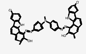 Cc1cc2ccc3c4cc(Cl)ccc4[nH]c3c2c(N=Nc2ccc(N(C)c3ccc(N=Nc4c(O)c(C)cc5ccc6c7cc(Cl)ccc7[nH]c6c45)cc3)cc2)c1O